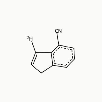 [2H]C1=CCc2cccc(C#N)c21